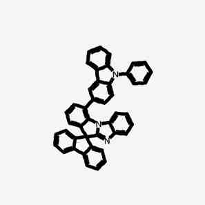 c1ccc(-n2c3ccccc3c3cc(-c4cccc5c4-n4c(nc6ccccc64)C54c5ccccc5-c5ccccc54)ccc32)cc1